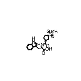 O=C(N[C@@H](Cc1c[nH]c2ccccc12)C(=O)O)[C@H]1CC[C@@H](S(=O)(=O)O)C1